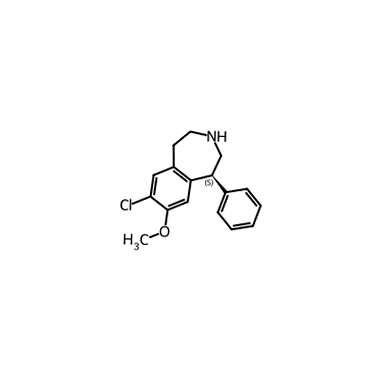 COc1cc2c(cc1Cl)CCNC[C@H]2c1ccccc1